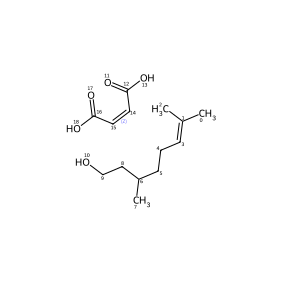 CC(C)=CCCC(C)CCO.O=C(O)/C=C\C(=O)O